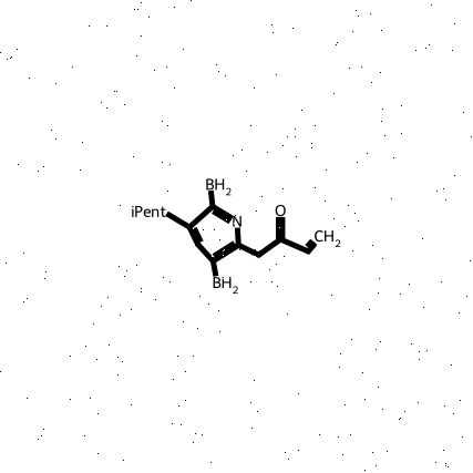 Bc1cc(C(C)CCC)c(B)nc1CC(=O)C=C